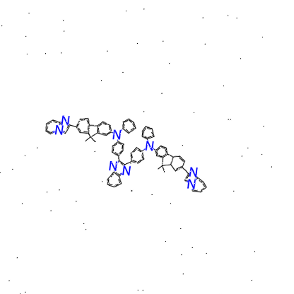 CC1(C)c2cc(-c3cn4ccccc4n3)ccc2-c2ccc(N(c3ccccc3)c3ccc(-c4nc5ccccc5nc4-c4ccc(N(c5ccccc5)c5ccc6c(c5)C(C)(C)C5C=C(c7cn8ccccc8n7)C=CC65)cc4)cc3)cc21